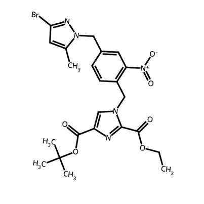 CCOC(=O)c1nc(C(=O)OC(C)(C)C)cn1Cc1ccc(Cn2nc(Br)cc2C)cc1[N+](=O)[O-]